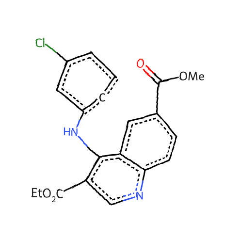 CCOC(=O)c1cnc2ccc(C(=O)OC)cc2c1Nc1cccc(Cl)c1